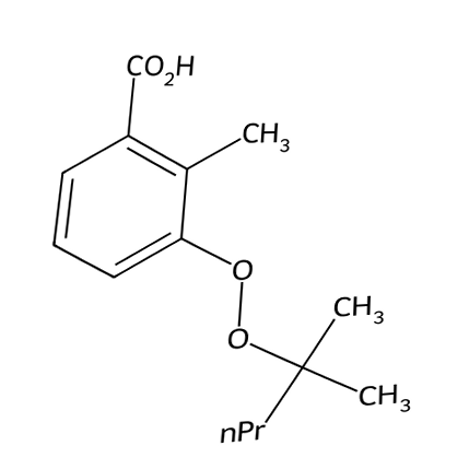 CCCC(C)(C)OOc1cccc(C(=O)O)c1C